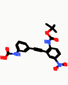 CC(C)(C)OC(=O)Nc1ccc([N+](=O)[O-])cc1C#Cc1cccc(NC(=O)O)c1